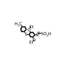 CCOc1cc(Sc2ccc(C)cc2)c(OCC)cc1N=NS(=O)(=O)O